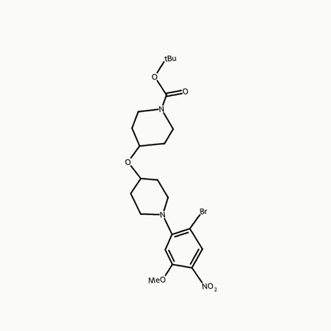 COc1cc(N2CCC(OC3CCN(C(=O)OC(C)(C)C)CC3)CC2)c(Br)cc1[N+](=O)[O-]